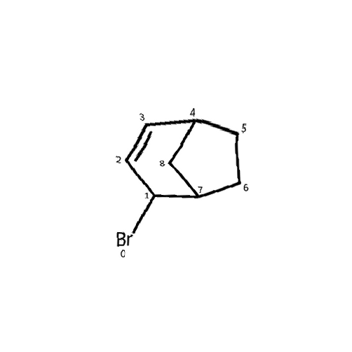 BrC1C=CC2CCC1C2